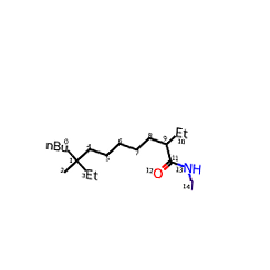 CCCCC(C)(CC)CCCCCC(CC)C(=O)NI